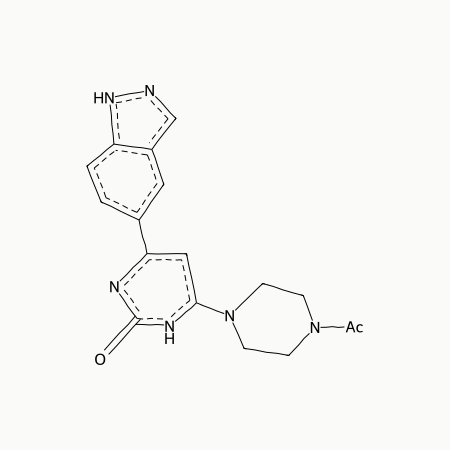 CC(=O)N1CCN(c2cc(-c3ccc4[nH]ncc4c3)nc(=O)[nH]2)CC1